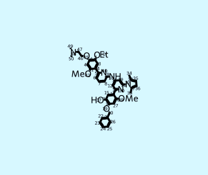 CCOc1cc(-c2cccc(Nc3cc(-c4cc(O)c(OCc5ccccc5)cc4OC)nc(-n4c(C)ccc4C)c3)n2)c(OC)cc1OCCN(C)C